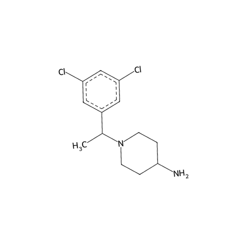 CC(c1cc(Cl)cc(Cl)c1)N1CCC(N)CC1